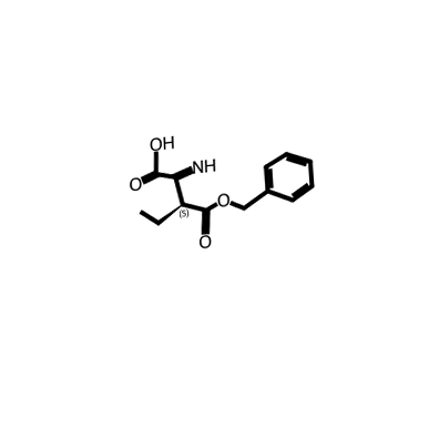 CC[C@@H](C(=N)C(=O)O)C(=O)OCc1ccccc1